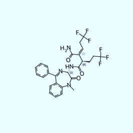 CN1C(=O)[C@@H](NC(=O)[C@H](CCC(F)(F)F)/C(=C/CC(F)(F)F)C(N)=O)N=C(c2ccccc2)c2ccccc21